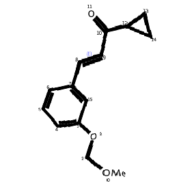 COCOc1cccc(/C=C/C(=O)C2CC2)c1